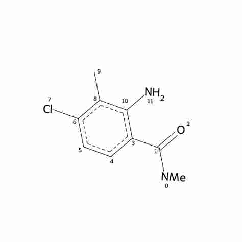 CNC(=O)c1ccc(Cl)c(C)c1N